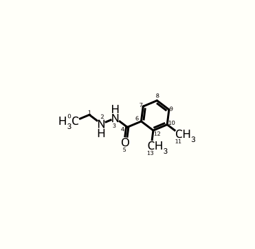 CCNNC(=O)c1cccc(C)c1C